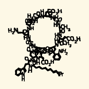 CC(C)CCCCCCCCC(=O)NC(Cc1c[nH]c2ccccc12)C(=O)NC(CC(N)=O)C(=O)NC(CC(=O)O)C(=O)NC1C(=O)NCC(=O)NC(CCCN)C(=O)NC(CC(=O)O)C(=O)NC(C)C(=O)NC(CC(=O)O)C(=O)NCC(=O)NC(C)C(=O)NC(C(C)CC(=O)O)C(=O)NC(CC(=O)c2ccccc2N)C(=O)OC1C